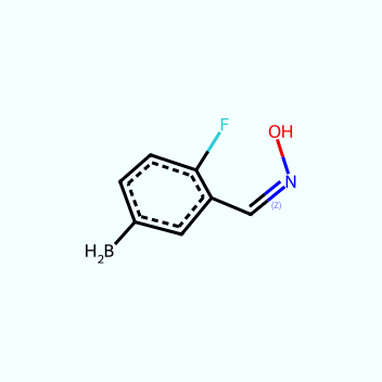 Bc1ccc(F)c(/C=N\O)c1